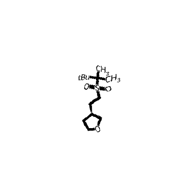 CC(C)(C)C(C)(C)S(=O)(=O)CC[C@@H]1CCOC1